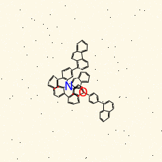 c1ccc(-c2ccc(-c3cccc4c3ccc3ccccc34)cc2N(c2ccc(-c3ccc(-c4cccc5ccccc45)cc3)cc2)c2ccccc2-c2cccc3oc4c5ccccc5ccc4c23)cc1